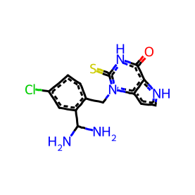 NC(N)c1cc(Cl)ccc1Cn1c(=S)[nH]c(=O)c2[nH]ccc21